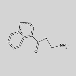 NCCC(=O)c1cccc2ccccc12